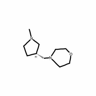 CN1CC[C@@H](CN2CCOCC2)C1